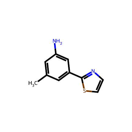 Cc1cc(N)cc(-c2nccs2)c1